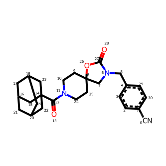 N#Cc1ccc(CN2CC3(CCN(C(=O)C45CC6CC(CC(C6)C4)C5)CC3)OC2=O)cc1